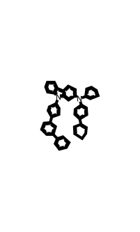 C1=CC(c2ccc(N(c3ccccc3)c3ccc4c5ccccc5n(-c5ccc(-c6cccc(-c7ccccc7)c6)cc5)c4c3)cc2)=CCC1